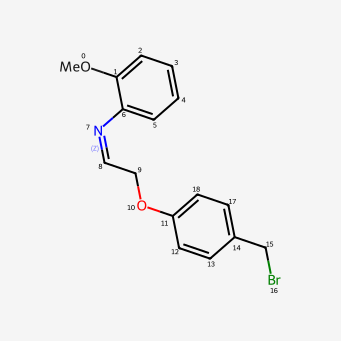 COc1ccccc1/N=C\COc1ccc(CBr)cc1